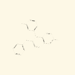 CCOC(=O)c1cccc(N2C(Cc3ccccc3)=C=Cc3cc(C(F)(F)F)ccc32)c1